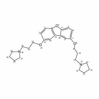 c1cc2oc3ccc(OCCCN4CCCC4)cc3c2cc1OCCCN1CCCC1